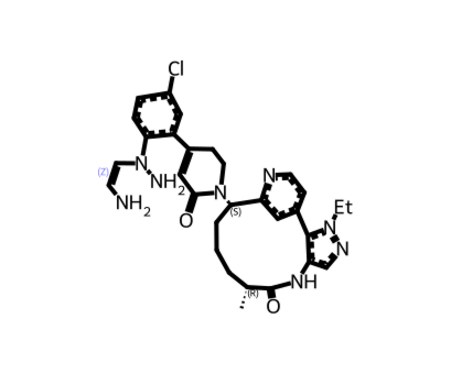 CCn1ncc2c1-c1ccnc(c1)[C@@H](N1CCC(c3cc(Cl)ccc3N(N)/C=C\N)=CC1=O)CCC[C@@H](C)C(=O)N2